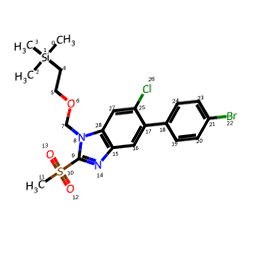 C[Si](C)(C)CCOCn1c(S(C)(=O)=O)nc2cc(-c3ccc(Br)cc3)c(Cl)cc21